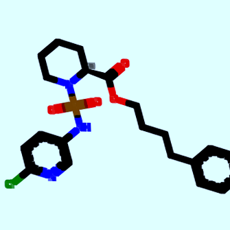 O=C(OCCCCc1ccccc1)[C@@H]1CCCCN1S(=O)(=O)Nc1ccc(Cl)nc1